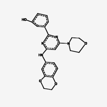 Oc1cccc(-c2nc(Nc3ccc4c(c3)OCCO4)cc(N3CCOCC3)n2)c1